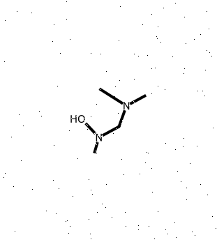 CN(C)CN(C)O